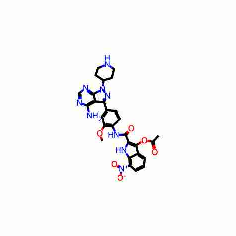 COc1cc(-c2nn(C3CCNCC3)c3ncnc(N)c23)ccc1NC(=O)c1[nH]c2c([N+](=O)[O-])cccc2c1OC(C)=O